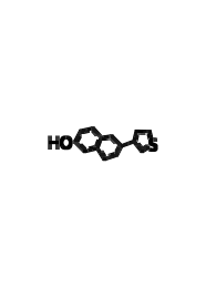 Oc1ccc2cc(-c3ccsc3)ccc2c1